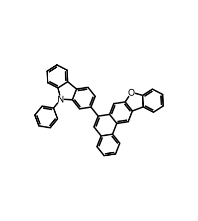 c1ccc(-n2c3ccccc3c3ccc(-c4cc5ccccc5c5cc6c(cc45)oc4ccccc46)cc32)cc1